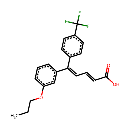 CCCOc1cccc(C(=CC=CC(=O)O)c2ccc(C(F)(F)F)cc2)c1